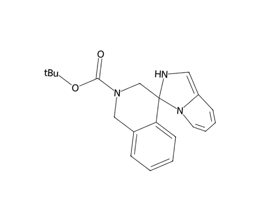 CC(C)(C)OC(=O)N1Cc2ccccc2C2(C1)NC=C1C=CC=CN12